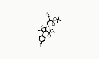 COC(=O)c1c(NC=C(C#N)C(=O)OC(C)(C)C)sc(C)c1-c1ccc(F)cc1